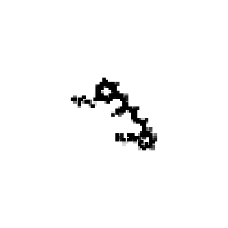 COc1cccc(NC(=S)CCCc2nnnn2C)c1